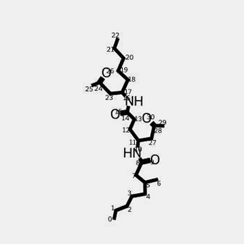 CCCCCC(C)CC(=O)NC(CCC(=O)NC(CCCCC)CC(C)=O)CC(C)=O